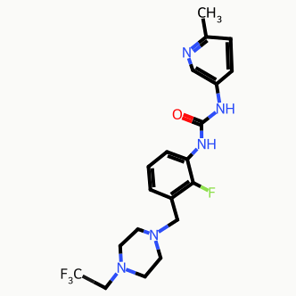 Cc1ccc(NC(=O)Nc2cccc(CN3CCN(CC(F)(F)F)CC3)c2F)cn1